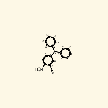 Nc1ccc(C(c2ccccc2)c2ccccc2)cc1F